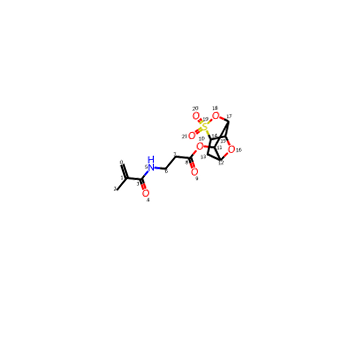 C=C(C)C(=O)NCCC(=O)OC1C2CC3C(O2)C1OS3(=O)=O